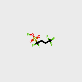 O=S(=O)(OF)C(F)(F)CCC(F)(F)F